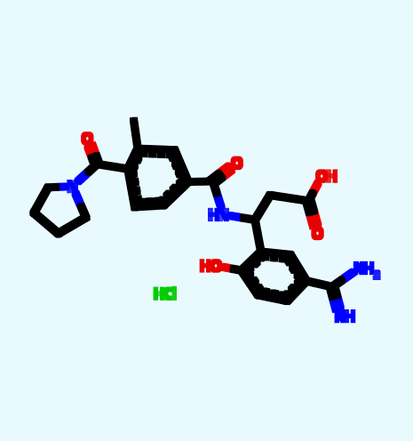 Cc1cc(C(=O)NC(CC(=O)O)c2cc(C(=N)N)ccc2O)ccc1C(=O)N1CCCC1.Cl